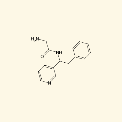 NCC(=O)NC(Cc1ccccc1)c1cccnc1